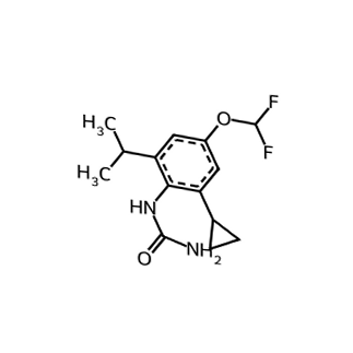 CC(C)c1cc(OC(F)F)cc(C2CC2)c1NC(N)=O